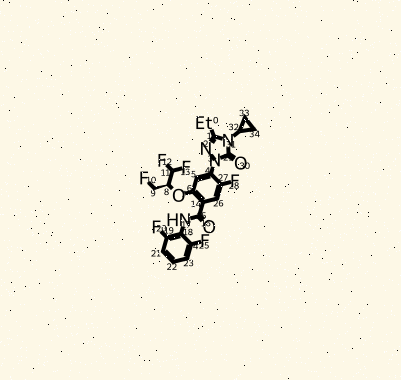 CCc1nn(-c2cc(O[C@@H](CF)C(F)F)c(C(=O)Nc3c(F)cccc3F)cc2F)c(=O)n1C1CC1